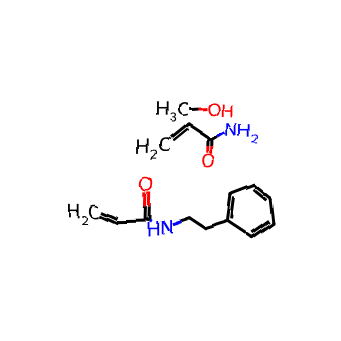 C=CC(=O)NCCc1ccccc1.C=CC(N)=O.CO